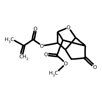 C=C(C)C(=O)OC1C2CC(=O)C3C2OC1C3C(=O)OC